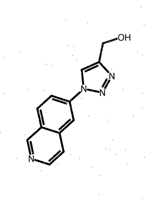 OCc1cn(-c2ccc3cnccc3c2)nn1